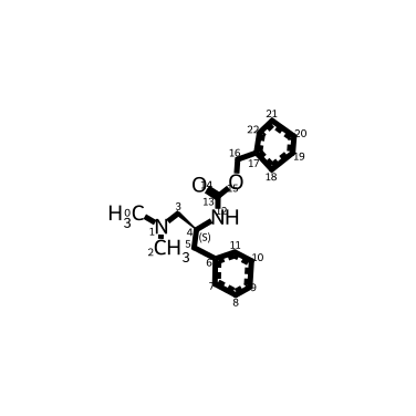 CN(C)C[C@H](Cc1ccccc1)NC(=O)OCc1ccccc1